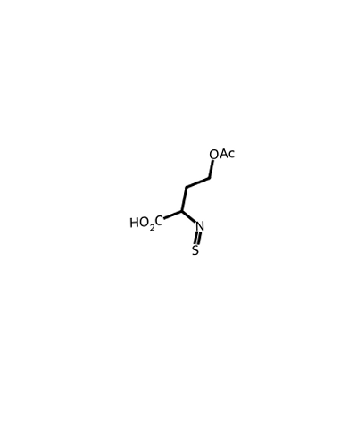 CC(=O)OCCC(N=S)C(=O)O